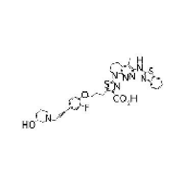 Cc1c(Nc2nc3ccccc3s2)nnc2c1CCCN2c1nc(C(=O)O)c(CCCOc2ccc(C#CCN3CCCC(O)C3)cc2F)s1